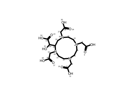 O=C(O)CN1CCN(CC(=O)O)CCN(CC(=O)O)C(C(O)C(=O)O)CN(CC(=O)O)CC1